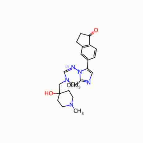 CN(/C=N\n1c(-c2ccc3c(c2)CCC3=O)cnc1C=O)CC1(O)CCN(C)CC1